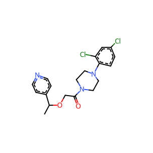 CC(OCC(=O)N1CCN(c2ccc(Cl)cc2Cl)CC1)c1ccncc1